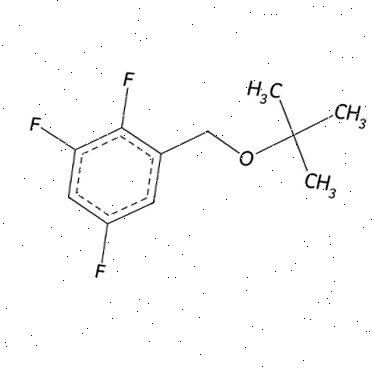 CC(C)(C)OCc1cc(F)cc(F)c1F